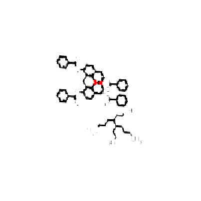 CCCCC(CCO)C(CCO)CCCC.O=C(O)c1ccccc1.O=C(O)c1ccccc1.O=C(Oc1ccc2ccccc2c1Cc1c(OC(=O)c2ccccc2)ccc2ccccc12)c1ccccc1